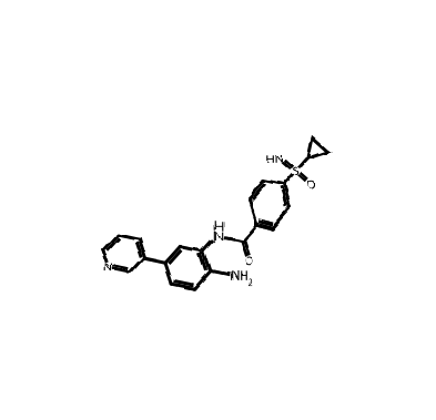 N=S(=O)(c1ccc(C(=O)Nc2cc(-c3cccnc3)ccc2N)cc1)C1CC1